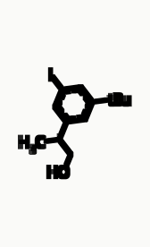 C[C](CO)c1cc(I)cc(C(C)(C)C)c1